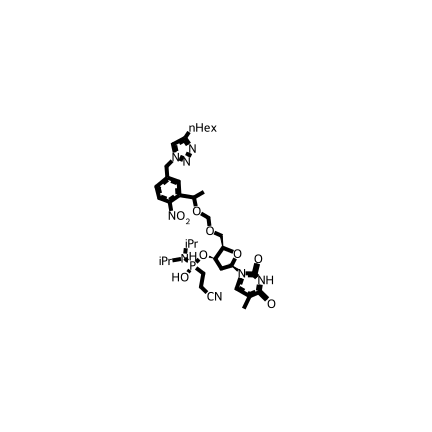 CCCCCCc1cn(Cc2ccc([N+](=O)[O-])c(C(C)OCOC[C@H]3O[C@@H](n4cc(C)c(=O)[nH]c4=O)C[C@@H]3O[PH](O)(CCC#N)N(C(C)C)C(C)C)c2)nn1